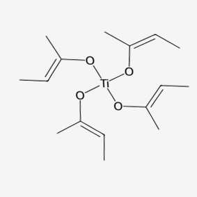 CC=C(C)[O][Ti]([O]C(C)=CC)([O]C(C)=CC)[O]C(C)=CC